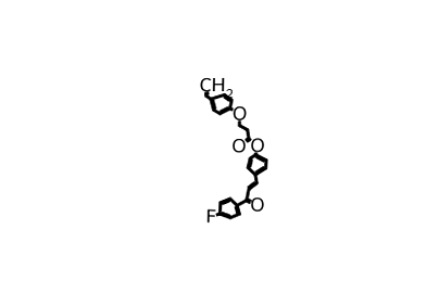 C=Cc1ccc(OCCC(=O)Oc2ccc(C=CC(=O)c3ccc(F)cc3)cc2)cc1